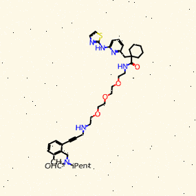 CCCC(C)N(C=O)Cc1c(C)cccc1C#CCNCCOCCOCCOCCNC(=O)C1(Cc2cccc(Nc3nccs3)n2)CCCCC1